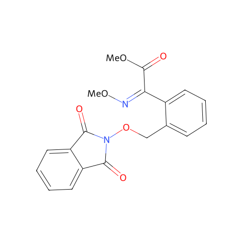 CON=C(C(=O)OC)c1ccccc1CON1C(=O)c2ccccc2C1=O